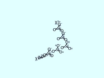 O=[Si]([O-])[O-].O=[Si]([O-])[O-].O=[Si]([O-])[O-].O=[Si]([O-])[O-].O=[Si]([O-])[O-].[Y+3].[Y+3].[Zn+2].[Zn+2]